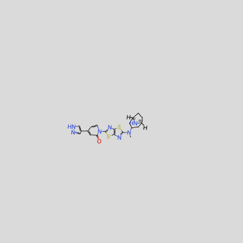 CN(c1nc2sc(-n3ccc(-c4cn[nH]c4)cc3=O)nc2s1)C1C[C@H]2CC[C@@H](C1)N2